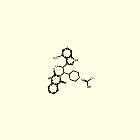 Cc1cccc2[nH]cc(C(C)C(C3CCCCC3)n3c(=O)[nH]c4ccccc4c3=O)c12.O=C(O)O